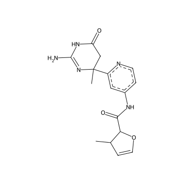 CC1C=COC1C(=O)Nc1ccnc(C2(C)CC(=O)NC(N)=N2)c1